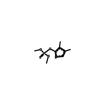 COP(=S)(OC)Oc1scc(C)c1C